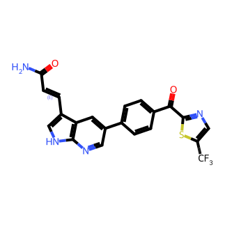 NC(=O)/C=C/c1c[nH]c2ncc(-c3ccc(C(=O)c4ncc(C(F)(F)F)s4)cc3)cc12